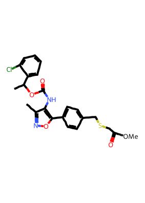 COC(=O)CSCc1ccc(-c2onc(C)c2NC(=O)OC(C)c2ccccc2Cl)cc1